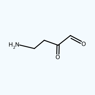 NCCC(=O)C=O